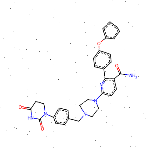 NC(=O)c1ccc(N2CCN(Cc3ccc(N4CCC(=O)NC4=O)cc3)CC2)nc1-c1ccc(Oc2ccccc2)cc1